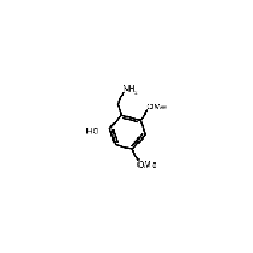 COc1ccc(CN)c(OC)c1.Cl